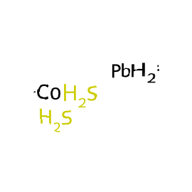 S.S.[Co].[PbH2]